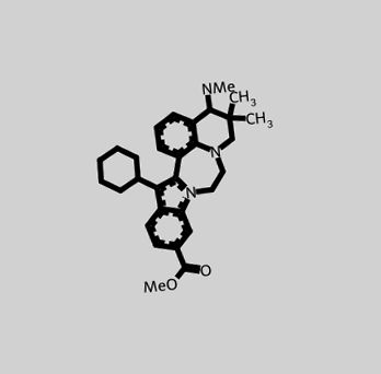 CNC1c2cccc3c2N(CCn2c-3c(C3CCCCC3)c3ccc(C(=O)OC)cc32)CC1(C)C